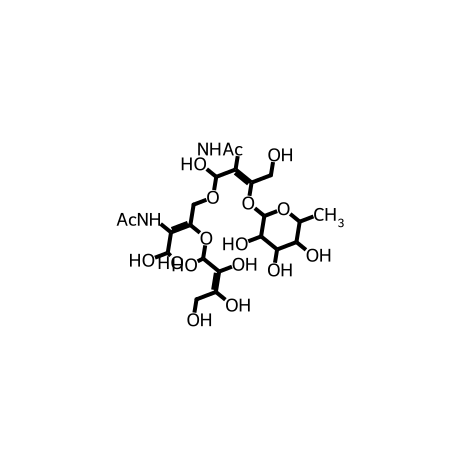 CC(=O)N/C(=C(\COC(O)/C(NC(C)=O)=C(/CO)OC1OC(C)C(O)C(O)C1O)OC(O)/C(O)=C(/O)CO)C(O)O